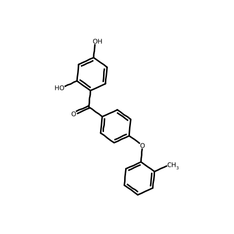 Cc1ccccc1Oc1ccc(C(=O)c2ccc(O)cc2O)cc1